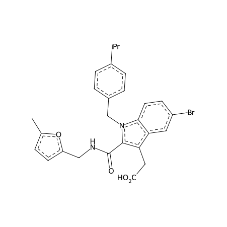 Cc1ccc(CNC(=O)c2c(CC(=O)O)c3cc(Br)ccc3n2Cc2ccc(C(C)C)cc2)o1